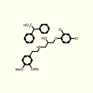 COc1ccc(CCNCC(O)COc2ccc(Cl)cc2Cl)cc1OC.O=C(O)C(c1ccccc1)c1ccccc1